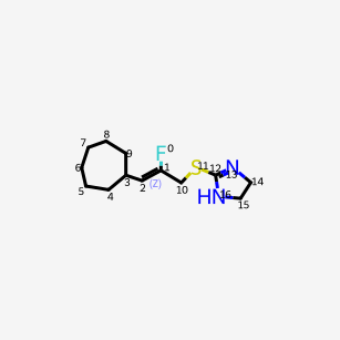 F/C(=C\C1CCCCCC1)CSC1=NCCN1